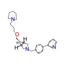 c1cncc(-c2ccc(CN3C[C@@H]4[C@@H](COCCCN5CCCCC5)[C@@H]4C3)cc2)c1